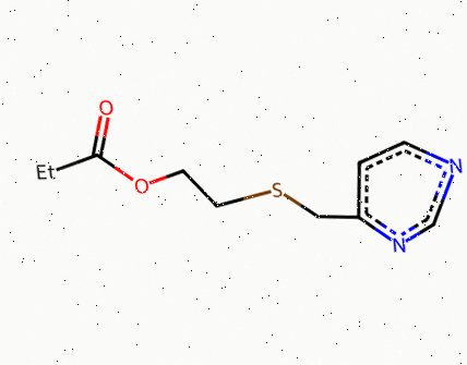 CCC(=O)OCCSCc1ccncn1